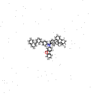 CC1(C)c2ccccc2-c2cccc(-c3ccc(N(c4ccc(-c5cccc(-c6cccc7ccccc67)c5)cc4)c4ccc5c(c4)oc4ccccc45)cc3)c21